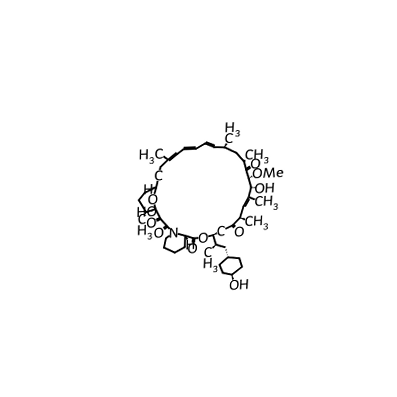 CO[C@H]1C(=O)[C@H](C)C[C@H](C)/C=C/C=C/C=C(\C)CC[C@@H]2CC[C@@H](C)[C@@](O)(O2)C(=O)C(=O)N2CCCC[C@H]2C(=O)O[C@H]([C@H](C)C[C@H]2CC[C@H](O)CC2)CC(=O)[C@H](C)/C=C(\C)[C@H]1O